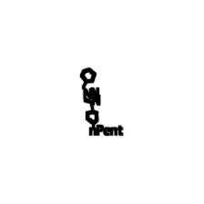 CCCCCc1ccc(-c2cn(Cc3ccccc3)nn2)cc1